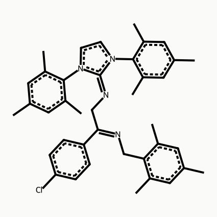 Cc1cc(C)c(C/N=C(/CN=c2n(-c3c(C)cc(C)cc3C)ccn2-c2c(C)cc(C)cc2C)c2ccc(Cl)cc2)c(C)c1